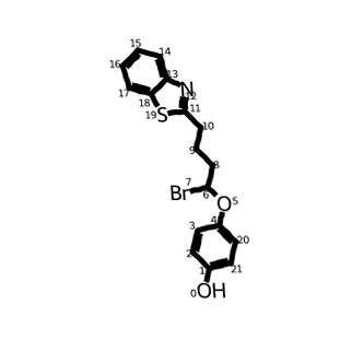 Oc1ccc(OC(Br)CCCc2nc3ccccc3s2)cc1